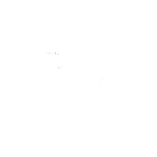 CNS(=O)(=O)c1ccc(-c2c[c]ccc2)cc1